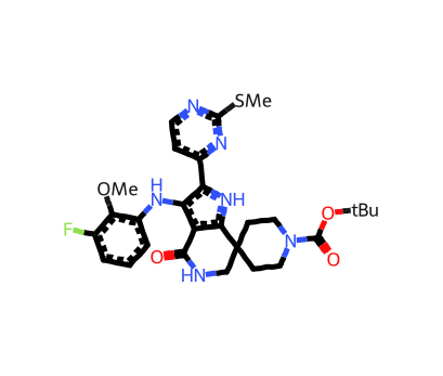 COc1c(F)cccc1Nc1c(-c2ccnc(SC)n2)[nH]c2c1C(=O)NCC21CCN(C(=O)OC(C)(C)C)CC1